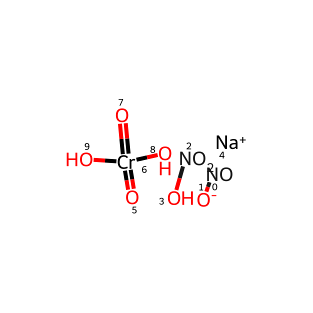 O=N[O-].O=[N+]([O-])O.[Na+].[O]=[Cr](=[O])([OH])[OH]